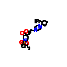 CC(C)c1ccccc1N1CCN(CC[C@H]2CC3(CCN(S(C)(=O)=O)CC3)C(=O)O2)CC1